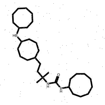 CC(C)(CCC1CCCC(BC2CCCCCCC2)CCC1)NC(=O)BC1CCCCCCCC1